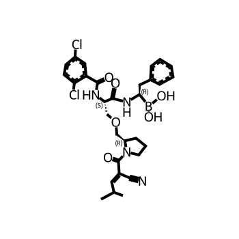 CC(C)C=C(C#N)C(=O)N1CCC[C@@H]1COC[C@H](NC(=O)c1cc(Cl)ccc1Cl)C(=O)N[C@@H](Cc1ccccc1)B(O)O